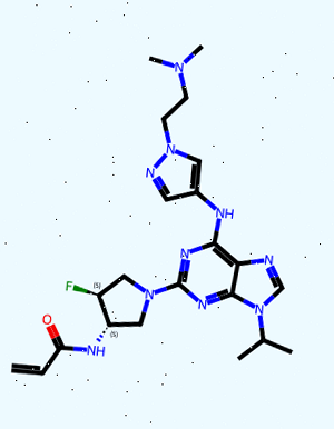 C=CC(=O)N[C@H]1CN(c2nc(Nc3cnn(CCN(C)C)c3)c3ncn(C(C)C)c3n2)C[C@@H]1F